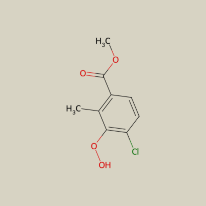 COC(=O)c1ccc(Cl)c(OO)c1C